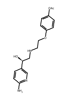 CC(=O)Oc1ccc(OCCNC[C@H](O)c2ccc(N)nc2)cc1